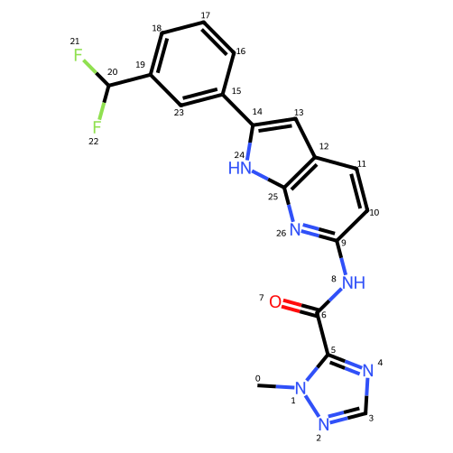 Cn1ncnc1C(=O)Nc1ccc2cc(-c3cccc(C(F)F)c3)[nH]c2n1